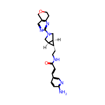 Nc1ccc(/C=C/C(=O)NCC[C@@H]2[C@H]3CN(c4ncc5c(n4)CCOC5)C[C@@H]23)cn1